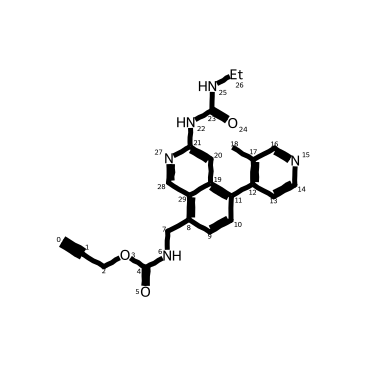 C#CCOC(=O)NCc1ccc(-c2ccncc2C)c2cc(NC(=O)NCC)ncc12